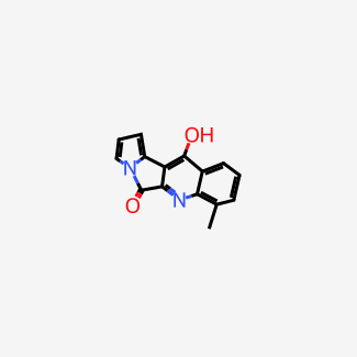 Cc1cccc2c(O)c3c(nc12)C(=O)n1cccc1-3